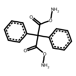 NOC(=O)C(C(=O)ON)(c1ccccc1)c1ccccc1